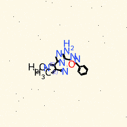 C=N/C=C(\C(C#N)=C/C)c1cnc(N)c(-c2nnc(-c3ccccc3)o2)n1